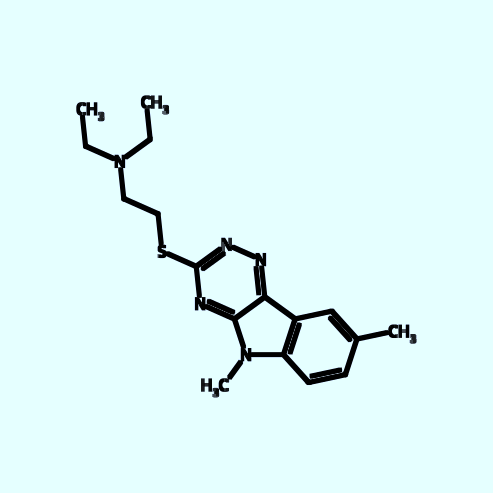 CCN(CC)CCSc1nnc2c3cc(C)ccc3n(C)c2n1